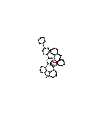 c1ccc(-c2ccc(C3=NC(c4ccccc4)NC(c4cccc5oc6cccc(-c7ccc8c(ccc9ccccc98)c7)c6c45)=N3)cc2)cc1